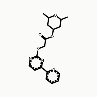 CC1CC(OC(=O)CSc2nccc(-c3ccccn3)n2)CC(C)O1